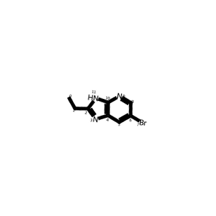 CCc1nc2cc(Br)cnc2[nH]1